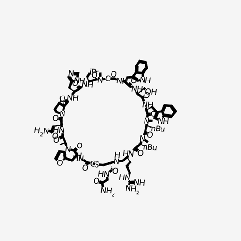 CCCC[C@H]1C(=O)N(C)[C@@H](CCCC)C(=O)N[C@@H](CCCNC(=N)N)CN[C@H](C(=O)NCC(N)=O)CSCC(=O)N[C@H]2Cc3occc3N(C2=O)[C@@H](C)C(=O)N[C@@H](CC(N)=O)C(=O)N2CCC[C@H]2C(=O)N[C@@H](Cc2cnc[nH]2)C(=O)N[C@@H](CC(C)C)C(=O)N(C)CC(=O)N[C@@H](Cc2c[nH]c3ccccc23)C(=O)N[C@@H](CO)C(=O)N[C@@H](Cc2c[nH]c3ccccc23)C(=O)N1C